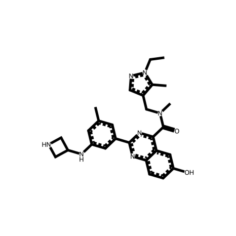 CCn1ncc(CN(C)C(=O)c2nc(-c3cc(C)cc(NC4CNC4)c3)nc3ccc(O)cc23)c1C